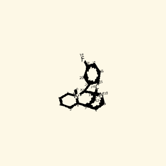 C[N+]12CCCCC1c1ccnc3c1CCc1ccc(F)cc1C32